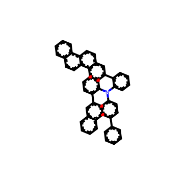 c1ccc(-c2ccc(N(c3ccccc3-c3ccc4ccccc4c3)c3ccccc3-c3ccc4c(ccc5c6ccccc6ccc45)c3)cc2)cc1